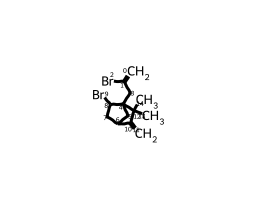 C=C(Br)CC12CC(CC1Br)C(=C)C2(C)C